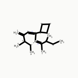 C=C(/C=C(\N=C(\C)C(C)CC)C1CCC1)C(C)CC